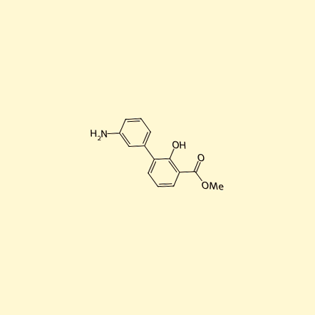 COC(=O)c1cccc(-c2cccc(N)c2)c1O